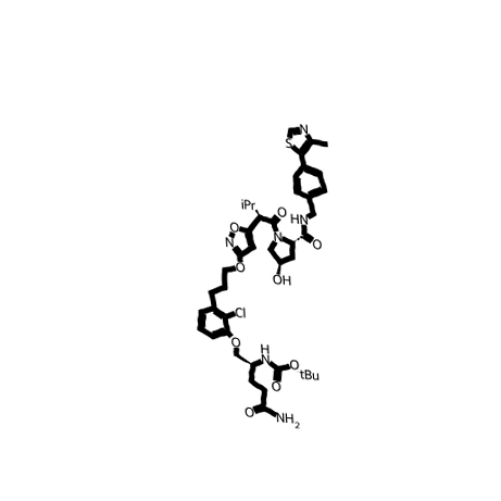 Cc1ncsc1-c1ccc(CNC(=O)[C@@H]2C[C@@H](O)CN2C(=O)[C@H](c2cc(OCCCc3cccc(OC[C@H](CCC(N)=O)NC(=O)OC(C)(C)C)c3Cl)no2)C(C)C)cc1